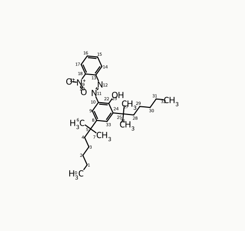 CCCCCC(C)(C)c1cc(N=Nc2ccccc2[N+](=O)[O-])c(O)c(C(C)(C)CCCCC)c1